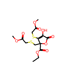 CCOC(=O)C1(CSCC(=O)OC)OC(=O)C(O)=C1SCC(=O)OC